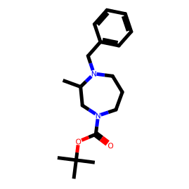 CC1CN(C(=O)OC(C)(C)C)CCCN1Cc1ccccc1